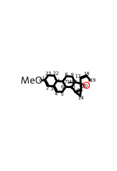 COC1=CC2=CCC3C(CC[C@@]4(C)C3C3CC3[C@@]43C=CCO3)C2CC1